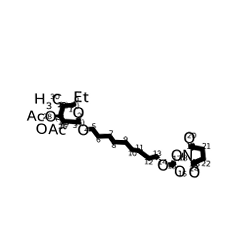 CC[C@H]1O[C@H](OCCCCCCCCCOC(=O)ON2C(=O)CCC2=O)[C@@H](OC(C)=O)[C@@H](OC(C)=O)[C@@H]1C